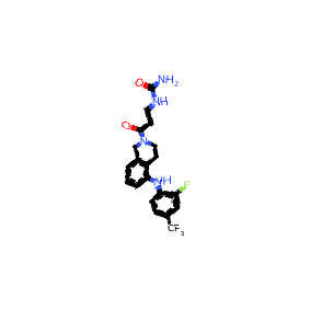 NC(=O)NCCC(=O)N1CCc2c(cccc2Nc2ccc(C(F)(F)F)cc2F)C1